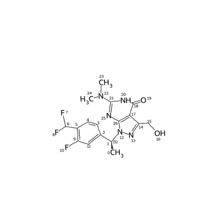 C[C@@H](c1ccc(C(F)F)c(F)c1)n1nc(CO)c2c(=O)[nH]c(N(C)C)nc21